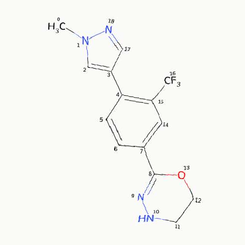 Cn1cc(-c2ccc(C3=NNCCO3)cc2C(F)(F)F)cn1